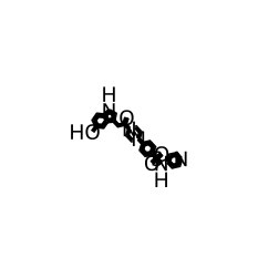 O=C(Cc1c[nH]c2ccc(O)cc12)N1CCN(c2ccc(S(=O)(=O)Nc3ccncc3)cc2)CC1